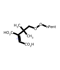 CCCCCOOCC(C)(C)/C(=C\C(=O)O)C(=O)O